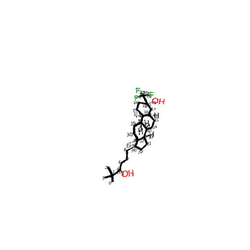 CC(C)(C)[C@@H](O)CCC[C@@H]1CC[C@H]2[C@@H]3CC[C@@H]4C[C@](O)(C(F)(F)F)CC[C@]4(C)[C@H]3CC[C@]12C